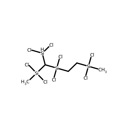 C[Si](Cl)(Cl)CC[Si](Cl)(Cl)C([SiH](Cl)Cl)[Si](C)(Cl)Cl